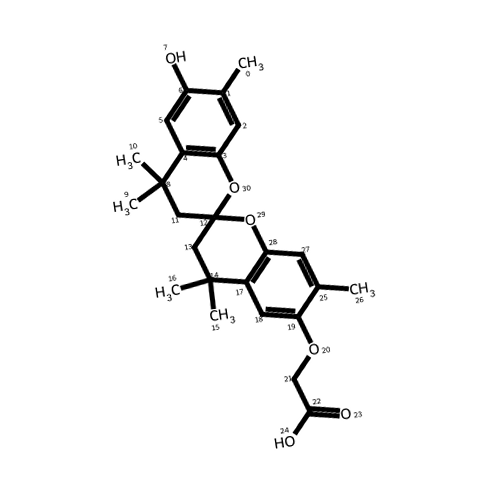 Cc1cc2c(cc1O)C(C)(C)CC1(CC(C)(C)c3cc(OCC(=O)O)c(C)cc3O1)O2